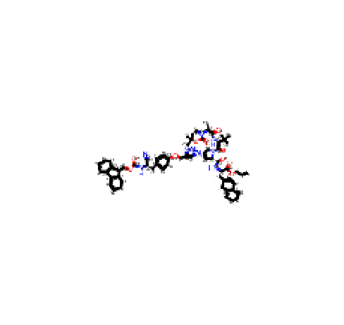 C=CCOC(=O)[C@H](Cc1ccc2ccccc2c1)NC(=O)[C@@H]1C[C@H](n2cc(COc3ccc(C[C@H](C#N)NC(=O)OCC4c5ccccc5-c5ccccc54)cc3)nn2)CN1C(=O)[C@@H](NC(=O)[C@H](C)N(C)C(=O)OC(C)(C)C)C(C)(C)C